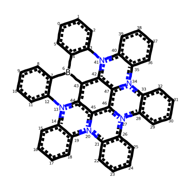 c1ccc2c(c1)B1c3ccccc3-n3c4ccccc4n4c5ccccc5n5c6ccccc6n6c7ccccc7n-2c2c1c3c4c5c26